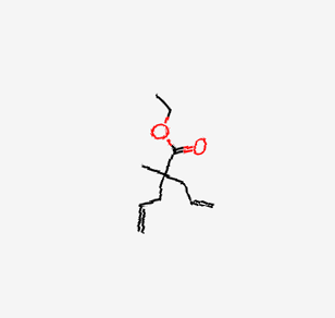 C=CCC(C)(CC=C)C(=O)OCC